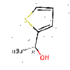 CCCC[C@@H](O)c1cccs1